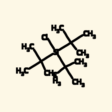 CC(C)(C)[Si](Cl)(C(C)(C)C)C(C)(C)C